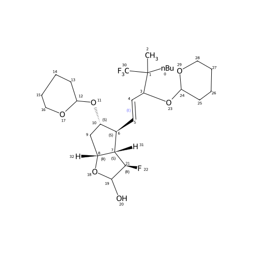 CCCCC(C)(C(/C=C/[C@H]1[C@H]2[C@@H](C[C@@H]1OC1CCCCO1)OC(O)[C@@H]2F)OC1CCCCO1)C(F)(F)F